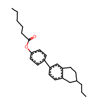 CCCCCC(=O)Oc1ccc(-c2ccc3c(c2)CCC(CCC)C3)cc1